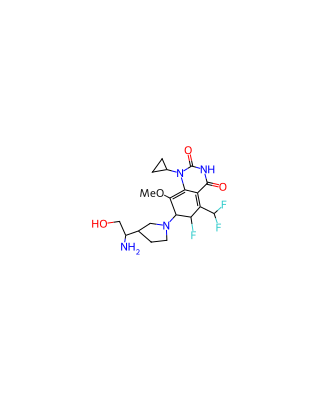 COC1=c2c(c(=O)[nH]c(=O)n2C2CC2)=C(C(F)F)C(F)C1N1CCC(C(N)CO)C1